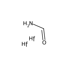 NC=O.[Hf].[Hf]